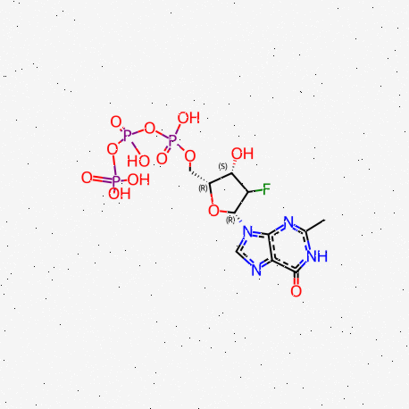 Cc1nc2c(ncn2[C@@H]2O[C@H](COP(=O)(O)OP(=O)(O)OP(=O)(O)O)[C@H](O)C2F)c(=O)[nH]1